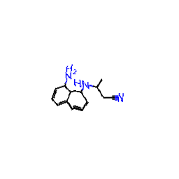 CC(CC#N)NC1CC=CC2=CC=CC(N)C21